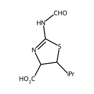 CC(C)C1SC(NC=O)=NC1C(=O)O